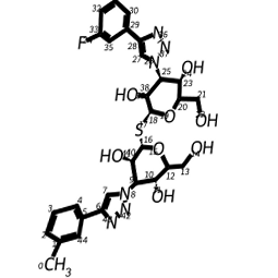 Cc1cccc(-c2cn(C3[C@@H](O)C(CO)O[C@@H](S[C@@H]4OC(CO)[C@H](O)[C@H](n5cc(-c6cccc(F)c6)nn5)C4O)[C@@H]3O)nn2)c1